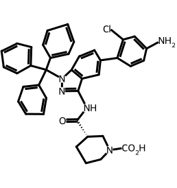 Nc1ccc(-c2ccc3c(c2)c(NC(=O)[C@H]2CCCN(C(=O)O)C2)nn3C(c2ccccc2)(c2ccccc2)c2ccccc2)c(Cl)c1